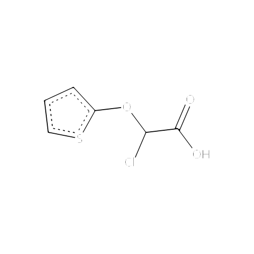 O=C(O)C(Cl)Oc1cccs1